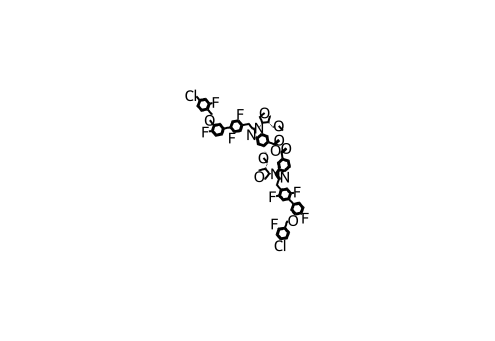 COC[C@H]1COC[C@H]1n1c(Cc2cc(F)c(-c3ccc(F)c(OCc4ccc(Cl)cc4F)c3)cc2F)nc2ccc(C(=O)OC(=O)c3ccc4nc(Cc5cc(F)c(-c6ccc(F)c(OCc7ccc(Cl)cc7F)c6)cc5F)n([C@@H]5COC[C@@H]5COC)c4c3)cc21